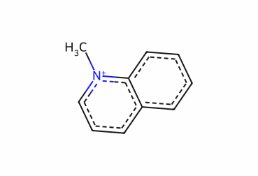 C[n+]1cccc2ccccc21